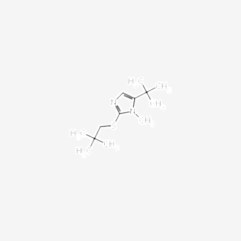 Cn1c(C(C)(C)C)cnc1SCC(C)(C)C